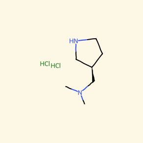 CN(C)C[C@@H]1CCNC1.Cl.Cl